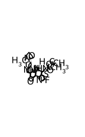 CN1CCOC[C@@H]1COc1ncc2c3c(c(-c4ncc(F)c5sc(NC(=O)OC(C)(C)C)c(C#N)c45)c(F)c2n1)COC3